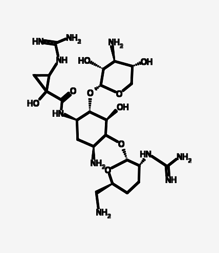 N=C(N)NC1CC1(O)C(=O)N[C@@H]1C[C@H](N)C(O[C@H]2O[C@H](CN)CC[C@H]2NC(=N)N)[C@H](O)[C@H]1O[C@H]1OC[C@@H](O)[C@H](N)[C@H]1O